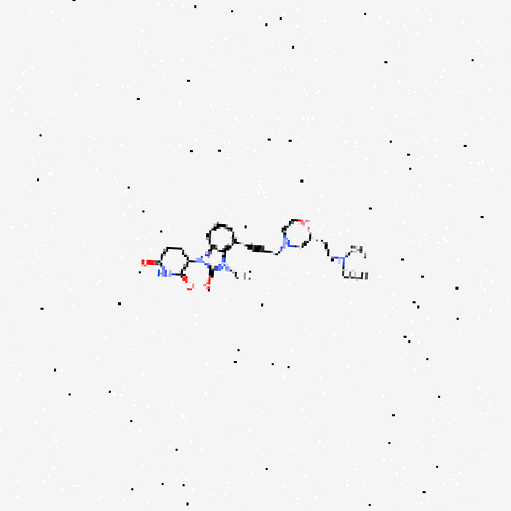 CN(CC[C@@H]1CN(CC#Cc2cccc3c2n(C)c(=O)n3C2CCC(=O)NC2=O)CCO1)C(=O)O